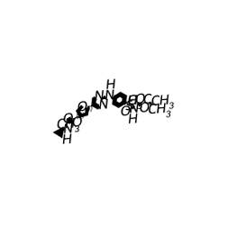 CC1(NC(=O)O[C@H]2CO[C@H](c3cnc(Nc4ccc(S(=O)(=O)NC(=O)OC(C)(C)C)cc4)nc3)C2)CC1